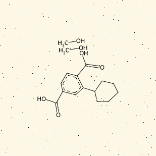 CO.CO.O=C(O)c1ccc(C(=O)O)c(C2CCCCC2)c1